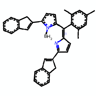 Bn1c(C2=Cc3ccccc3C2)ccc1/C(=C1/C=CC(C2=Cc3ccccc3C2)=N1)c1c(C)cc(C)cc1C